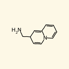 NCC1C=CN2C=CC=CC2=C1